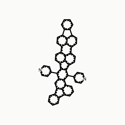 c1ccc2c(c1)-c1ccc3c4ccc5c6c(-c7ccncc7)c7cc8c9ccccc9c9cccc(c7c(-c7ccncc7)c6c6ccc(c7ccc-2c1c37)c4c56)c98